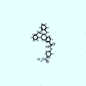 C[S+]([O-])N1CCC(CNC(=O)c2ccc3c(c2)CCCN3Cc2ccccc2OCc2ccccc2)CC1